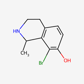 CC1NCCc2ccc(O)c(Br)c21